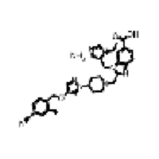 CCn1cncc1Cn1c(CN2CCC(n3cc(OCc4ccc(C#N)cc4F)cn3)CC2)nc2ccc(C(=O)O)cc21.N